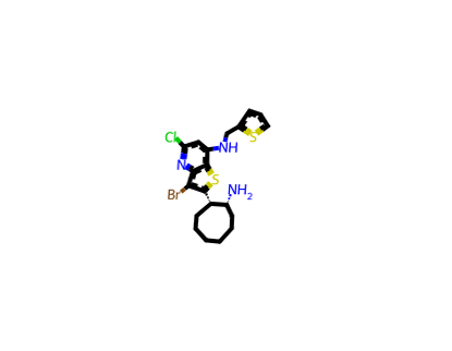 N[C@@H]1CCCCCC[C@@H]1c1sc2c(NCc3cccs3)cc(Cl)nc2c1Br